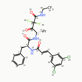 CC(C)[C@H](NC(=O)[C@H](Cc1ccccc1)NC(=O)C=Cc1cc(Cl)cc(Cl)c1)C(=O)C(F)(F)C(=O)NCC(F)(F)F